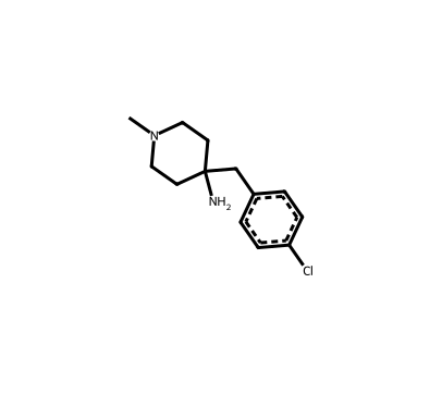 CN1CCC(N)(Cc2ccc(Cl)cc2)CC1